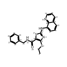 CCSc1nc(Nc2cccc3cccnc23)sc1C(=O)NCc1ccccc1